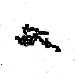 COC(=O)c1nc(N(CC(Cc2c(Cl)nnc(Cl)c2C)OCCN(C)C(=O)OC(C)(C)C)C(=O)OC(C)(C)C)sc1CCCOc1ccc(C#CCN(C)C)cc1F